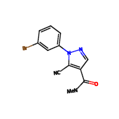 CNC(=O)c1cnn(-c2cccc(Br)c2)c1C#N